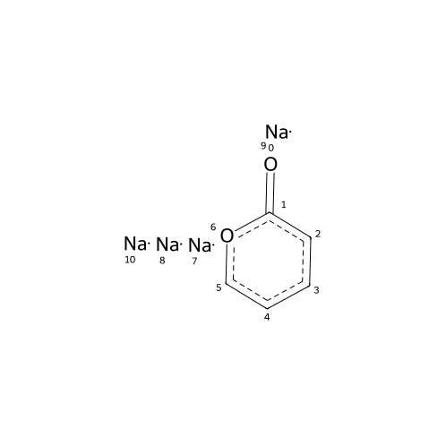 O=c1cccco1.[Na].[Na].[Na].[Na]